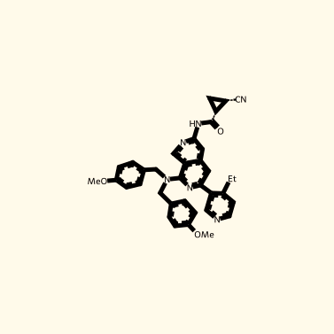 CCc1ccncc1-c1cc2cc(NC(=O)[C@@H]3C[C@@H]3C#N)ncc2c(N(Cc2ccc(OC)cc2)Cc2ccc(OC)cc2)n1